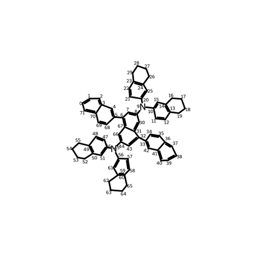 c1ccc2cc(-c3cc(N(c4ccc5c(c4)CCCC5)c4ccc5c(c4)CCCC5)cc4c(-c5ccc6ccccc6c5)cc(N(c5ccc6c(c5)CCCC6)c5ccc6c(c5)CCCC6)cc34)ccc2c1